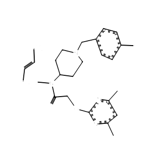 Cc1cc(C)nc(OCC(=O)N(C)C2CCN(Cc3ccc(C(F)(F)F)cc3)CC2)n1.O=C(O)C=CC(=O)O